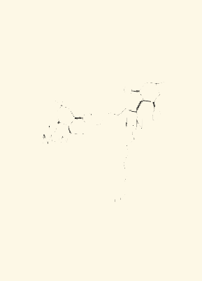 CNC(CCCCCCC(NCCCCCCCCC(C)C)=C1C(=O)CC(C)(C)CC1=O)=C1C(=O)CC(C)(C)CC1=O